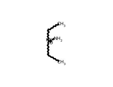 CCCCCCCC/C=C\CCCCCCCCC(CCCCCC/C=C\CCCCCCCC)C(=O)NCCN